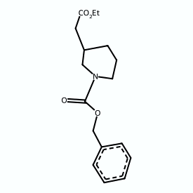 CCOC(=O)CC1CCCN(C(=O)OCc2ccccc2)C1